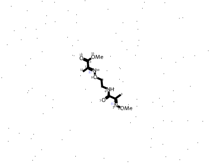 CO/N=C(\C)C(=O)NCCO/N=C(\C)C(=O)OC